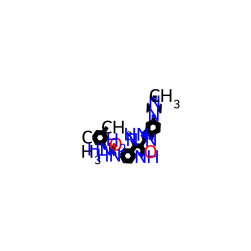 Cc1cc(C)cc(NC(=O)Nc2ccc3[nH]c(=O)c(-c4nc5ccc(N6CCN(C)CC6)cc5[nH]4)c(N)c3c2)c1